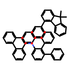 CC1(C)c2ccccc2-c2c(-c3ccc(N(c4cccc(-c5ccccc5)c4-c4ccccc4-c4ccccc4)c4cc5ccccc5c5ccccc45)cc3)cccc21